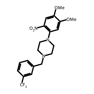 COc1cc(N2CCN(Cc3cccc(C(F)(F)F)c3)CC2)c([N+](=O)[O-])cc1OC